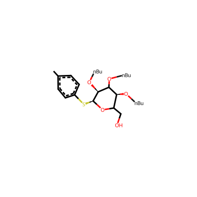 CCCCOC1[C@@H](OCCCC)C(CO)O[C@@H](Sc2ccc(C)cc2)[C@H]1OCCCC